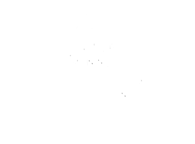 CN(C)C(=O)C1CCC(N(NC(=O)OC(C)(C)C)C(=O)OCc2ccccc2)CC1